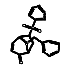 O=C1C=CC2C(S(=O)(=O)c3ccccc3)CC1N2Cc1ccccc1